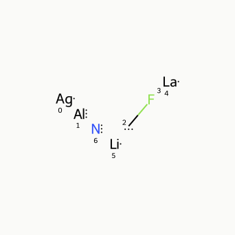 [Ag].[Al].[C]F.[La].[Li].[N]